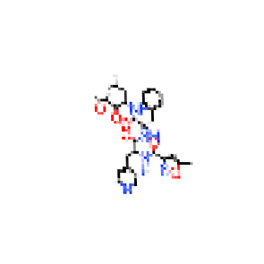 Cc1cc(C(=O)NC(Cc2ccncc2)C(=O)N[C@@H](Cc2ccccc2)C(=O)NC(CC(C)C)C(=O)C2(C)CO2)no1